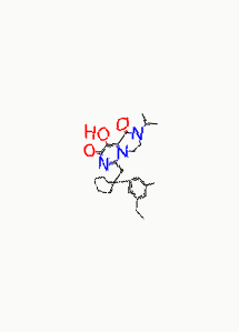 CCc1cc(C)cc(C2(Cc3nc(=O)c(O)c4n3CCN(C(C)C)C4=O)CCCC2)c1